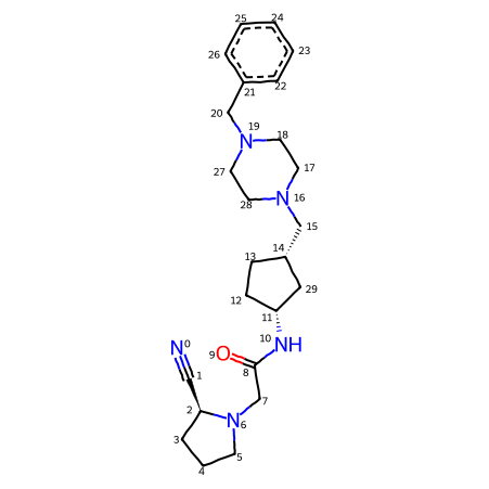 N#C[C@@H]1CCCN1CC(=O)N[C@@H]1CC[C@H](CN2CCN(Cc3ccccc3)CC2)C1